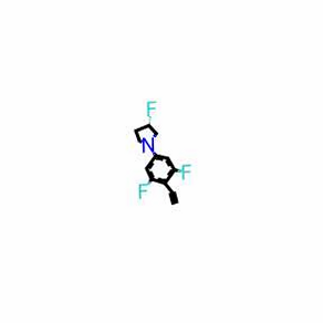 C#Cc1c(F)cc(N2CC[C@H](F)C2)cc1F